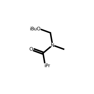 CC(C)COCN(C)C(=O)C(C)C